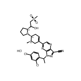 CC(c1ccc(Cl)cc1Cl)n1nc(C#N)c2ncc(C3=CC[C@H](N4CCC[C@H]4C(O)CS(C)(=O)=O)[C@H](C)C3)nc21.Cl